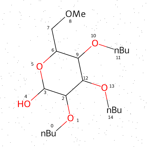 CCCCOC1C(O)OC(COC)C(OCCCC)C1OCCCC